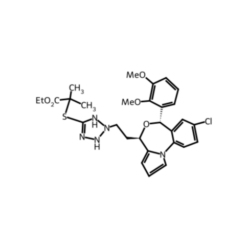 CCOC(=O)C(C)(C)SC1=NNN(CC[C@H]2O[C@H](c3cccc(OC)c3OC)c3cc(Cl)ccc3-n3cccc32)N1